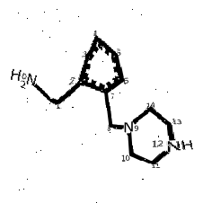 NCc1ccccc1CN1CCNCC1